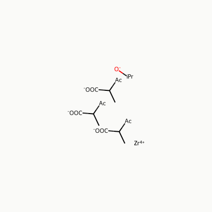 CC(=O)C(C)C(=O)[O-].CC(=O)C(C)C(=O)[O-].CC(=O)C(C)C(=O)[O-].CC(C)[O-].[Zr+4]